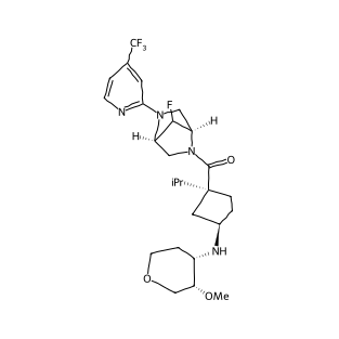 CO[C@@H]1COCC[C@@H]1N[C@@H]1CC[C@@](C(=O)N2C[C@@H]3C(F)[C@H]2CN3c2cc(C(F)(F)F)ccn2)(C(C)C)C1